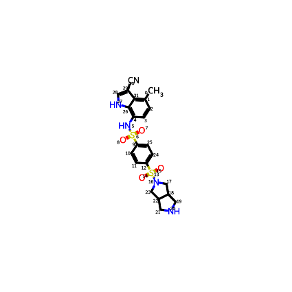 Cc1ccc(NS(=O)(=O)c2ccc(S(=O)(=O)N3CC4CNCC4C3)cc2)c2[nH]cc(C#N)c12